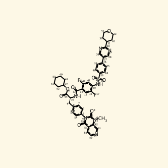 Cn1c(=O)n(-c2ccc(C[C@H](NC(=O)c3cc(F)c(NS(=O)(=O)c4ccc(-c5cnc(C6CCOCC6)nc5)cc4)cc3F)C(=O)OC3CCCCC3)nc2)c(=O)c2ccncc21